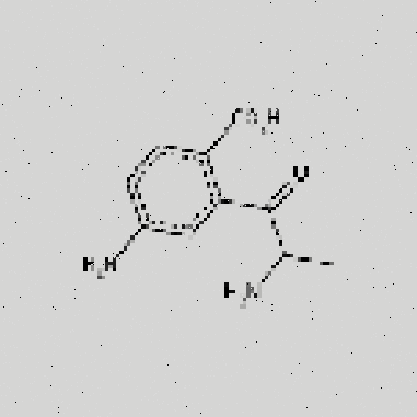 CC(N)C(=O)c1cc(N)ccc1C(=O)O